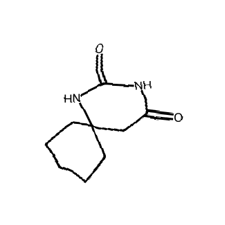 O=C1CC2(CCCCC2)NC(=O)N1